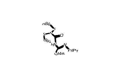 CCCCSN(SCCCC)C(=O)NC(=NCCC)OC